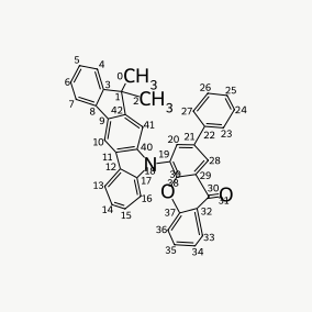 CC1(C)c2ccccc2-c2cc3c4ccccc4n(-c4cc(-c5ccccc5)cc5c(=O)c6ccccc6oc45)c3cc21